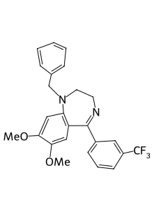 COc1cc2c(cc1OC)N(Cc1ccccc1)CCN=C2c1cccc(C(F)(F)F)c1